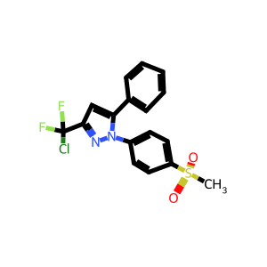 CS(=O)(=O)c1ccc(-n2nc(C(F)(F)Cl)cc2-c2ccccc2)cc1